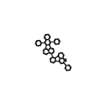 c1ccc(-c2cc3c4c(cccc4n2)-c2c(-c4ccc5c6c(cccc46)-c4c-5c(-c5ccccc5)c5ccccc5c4-c4ccccc4)cccc2-3)cc1